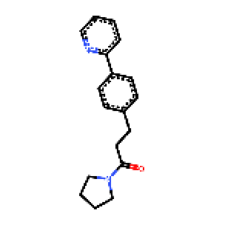 O=C([CH]Cc1ccc(-c2ccccn2)cc1)N1CCCC1